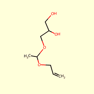 C=CCOC(C)OCC(O)CO